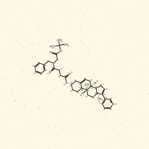 CC(C)(C)OC(=O)CN(Cc1ccccc1)C(=O)CCC(=O)O[C@H]1CC[C@@]2(C)C(=CC[C@H]3C4CC=C(c5cccnc5)[C@@]4(C)CC[C@@H]32)C1